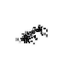 Cc1c(C)n(CCN)c2ccc(C(=O)N3CCC4(CC3)CN(N)/C(=N\C(=O)C3NC(Cl)=C(N=NN)NC3N=NN)N4)cc12